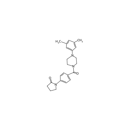 Cc1cc(C)cc(N2CCN(C(=O)c3ccc(N4CCCC4=O)cc3)CC2)c1